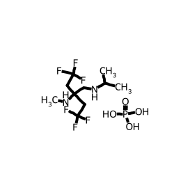 CNC(CNC(C)C)(CC(F)(F)F)CC(F)(F)F.O=P(O)(O)O